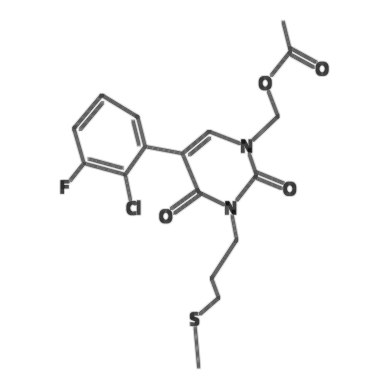 CSCCCn1c(=O)c(-c2cccc(F)c2Cl)cn(COC(C)=O)c1=O